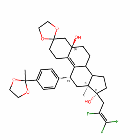 CC1(c2ccc([C@H]3C[C@@]4(C)C(CC[C@@]4(O)CC(F)=C(F)F)C4CC[C@@]5(O)CC6(CCC5=C43)OCCO6)cc2)OCCO1